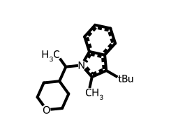 Cc1c(C(C)(C)C)c2ccccc2n1C(C)C1CCOCC1